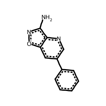 Nc1noc2cc(-c3ccccc3)cnc12